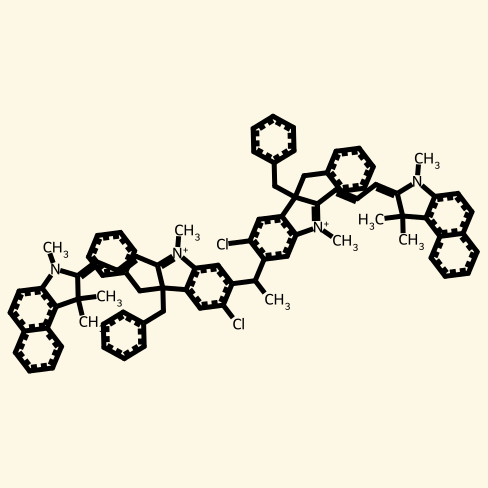 CC(c1cc2c(cc1Cl)C(Cc1ccccc1)(Cc1ccccc1)C(/C=C/C=C1/N(C)c3ccc4ccccc4c3C1(C)C)=[N+]2C)c1cc2c(cc1Cl)C(Cc1ccccc1)(Cc1ccccc1)C(/C=C/C=C1/N(C)c3ccc4ccccc4c3C1(C)C)=[N+]2C